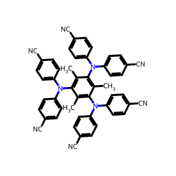 Cc1c(N(c2ccc(C#N)cc2)c2ccc(C#N)cc2)c(C)c(N(c2ccc(C#N)cc2)c2ccc(C#N)cc2)c(C)c1N(c1ccc(C#N)cc1)c1ccc(C#N)cc1